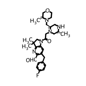 C[C@@H]1CN(CC(=O)N2CC(C)(C)c3nc(C=O)c(Cc4ccc(F)cc4)cc32)[C@@H](CN2CCOC[C@H]2C)CN1